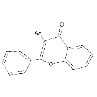 CC(=O)c1c(-c2ccccc2)oc2ccccc2c1=O